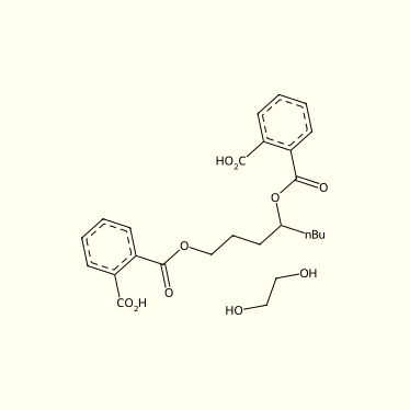 CCCCC(CCCOC(=O)c1ccccc1C(=O)O)OC(=O)c1ccccc1C(=O)O.OCCO